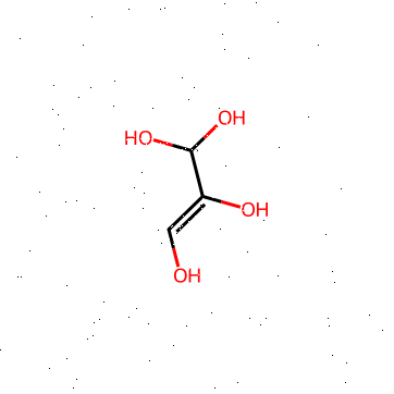 O/C=C(\O)[C](O)O